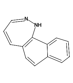 C1=Cc2ccc3ccccc3c2NN=C1